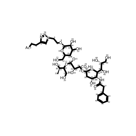 CC(=O)CCc1cn(CCO[C@@H]2OC(CO)[C@@H](O[C@H](OC(CO)[C@@H](C)O)[C@@H](O)CO[C@]3(C(=O)O)C[C@@H](O)[C@@H](NC(=O)Cc4ccccc4)C([C@H](O)[C@H](O)CO)O3)C(O)[C@@H]2O)nn1